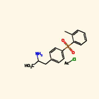 CC(=O)Cl.Cc1ccccc1S(=O)(=O)c1ccc(CC(N)C(=O)O)cc1